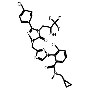 CN(CC1CC1)C(=O)c1cccc(Cl)c1-n1cnc(Cn2nc(-c3ccc(Cl)cc3)n(CC(O)C(F)(F)F)c2=O)n1